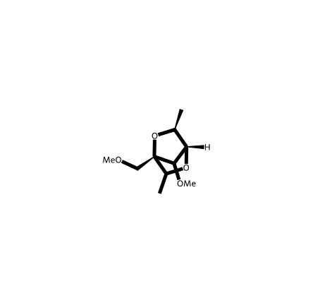 COC[C@]12O[C@@H](C)[C@H](OC1C)C2OC